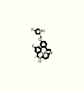 C[C@@H](Nc1ccc2ncc(-c3ccc(OC[C@@H]4C[C@@H](F)CN4)cc3)n2n1)c1cccc(F)c1